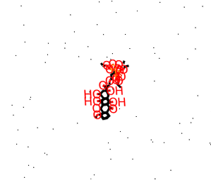 CCOOP(=O)(OOCC)C(CC(=O)OCC(=O)C1(O)Cc2c(O)c3c(c(O)c2C(O)C1)C(=O)c1c(OC)cccc1C3=O)P(=O)(OOCC)OOCC